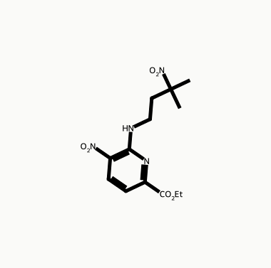 CCOC(=O)c1ccc([N+](=O)[O-])c(NCCC(C)(C)[N+](=O)[O-])n1